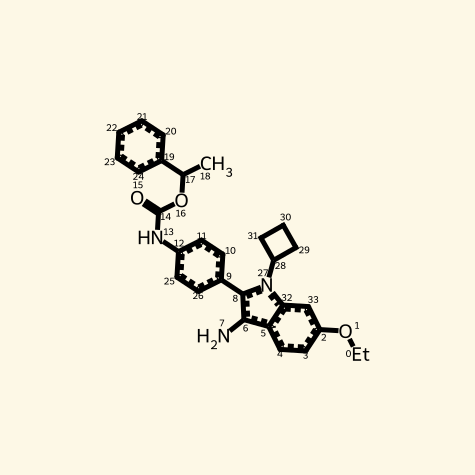 CCOc1ccc2c(N)c(-c3ccc(NC(=O)OC(C)c4ccccc4)cc3)n(C3CCC3)c2c1